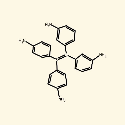 Nc1ccc(S(c2ccc(N)cc2)=S(c2cccc(N)c2)c2cccc(N)c2)cc1